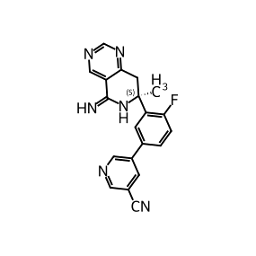 C[C@@]1(c2cc(-c3cncc(C#N)c3)ccc2F)Cc2ncncc2C(=N)N1